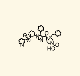 O=C(O)N1CCN(C(=O)c2ncn(C3CCCN(S(=O)(=O)c4cccnc4)C3)c2-c2ccccc2)[C@H](Cc2ccccc2)C1